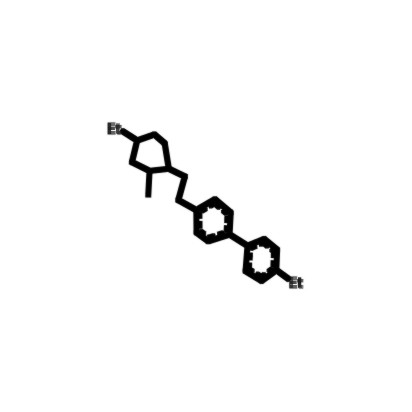 CCc1ccc(-c2ccc(CCC3CCC(CC)CC3C)cc2)cc1